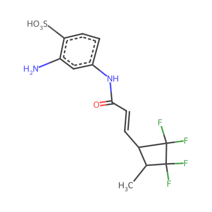 CC1C(C=CC(=O)Nc2ccc(S(=O)(=O)O)c(N)c2)C(F)(F)C1(F)F